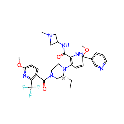 CC[C@@H]1CN(C(=O)c2ccc(OC)nc2C(F)(F)F)CCN1C1=C(C(=O)NC2CN(C)C2)NC(OC)(c2cccnc2)C=C1